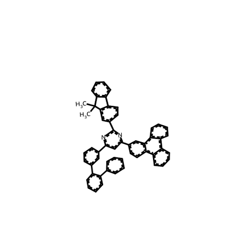 CC1(C)c2ccccc2-c2ccc(-c3nc(-c4cccc(-c5ccccc5-c5ccccc5)c4)cc(-c4ccc5c6ccccc6c6ccccc6c5c4)n3)cc21